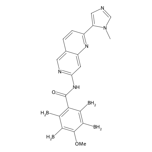 Bc1c(B)c(C(=O)Nc2cc3nc(-c4cncn4C)ccc3cn2)c(B)c(B)c1OC